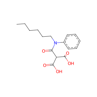 CCCCCCN(C(=O)C(C(=O)O)C(=O)O)c1ccccc1